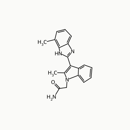 Cc1cccc2nc(-c3c(C)n(CC(N)=O)c4ccccc34)[nH]c12